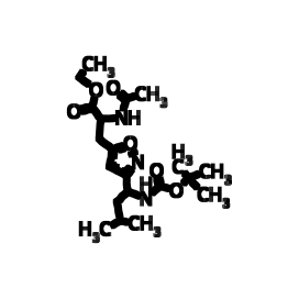 CCOC(=O)C(Cc1cc(C(CC(C)C)NC(=O)OC(C)(C)C)no1)NC(C)=O